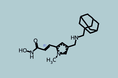 Cn1cc(CNCC23CC4CC(CC(C4)C2)C3)cc1/C=C/C(=O)NO